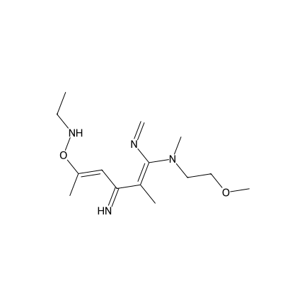 C=N/C(=C(/C)C(=N)/C=C(\C)ONCC)N(C)CCOC